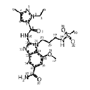 CCn1nc(C)cc1C(=O)Nc1nc2cc(C(N)=O)cc(OC)c2n1CCCNS(C)(=O)=O